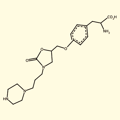 NC(Cc1ccc(OCC2CN(CCCN3CCNCC3)C(=O)O2)cc1)C(=O)O